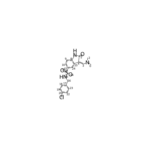 CN(C)C=C1C(=O)Nc2ccc(S(=O)(=O)NCc3ccc(Cl)cc3)cc21